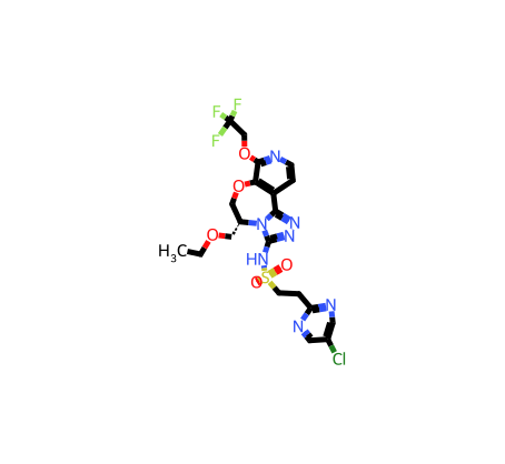 CCOC[C@@H]1COc2c(ccnc2OCC(F)(F)F)-c2nnc(NS(=O)(=O)CCc3ncc(Cl)cn3)n21